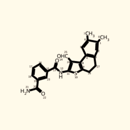 Cc1cc2c(cc1C)-c1c(sc(NC(=O)c3cccc(C(N)=O)c3)c1C=O)CC2